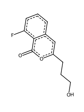 O=c1oc(CCCO)cc2cccc(F)c12